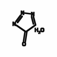 O.O=C1C=NN=N1